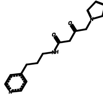 O=C(CC(=O)NCCCc1ccncc1)CN1CCCC1